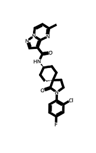 Cc1ccn2ncc(C(=O)N[C@H]3CC[C@@]4(CCN(c5ccc(F)cc5Cl)C4=O)CC3)c2n1